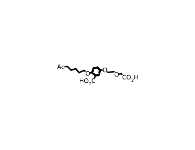 CC(=O)CCCCCOc1ccc(OCCOCC(=O)O)cc1C(=O)O